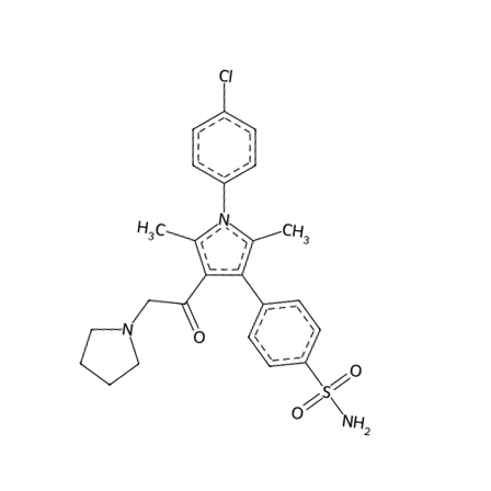 Cc1c(C(=O)CN2CCCC2)c(-c2ccc(S(N)(=O)=O)cc2)c(C)n1-c1ccc(Cl)cc1